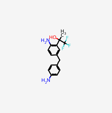 CC(O)(c1cc(Cc2ccc(N)cc2)ccc1N)C(F)(F)F